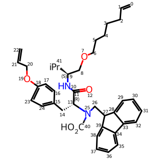 C=CCCCCCOC[C@@H](NC(=O)[C@@H](Cc1ccc(OCC=C)cc1)N(CC1c2ccccc2-c2ccccc21)C(=O)O)C(C)C